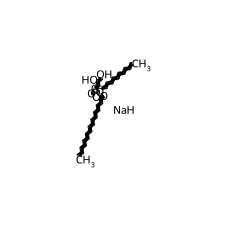 CCCCCCCCCCCCCCCCCC(=O)OP(=O)(OCCCCCCCCCCCC)OCC(O)CO.[NaH]